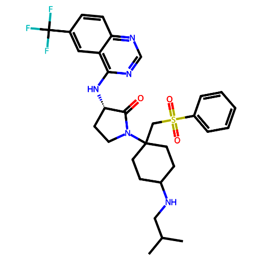 CC(C)CNC1CCC(CS(=O)(=O)c2ccccc2)(N2CC[C@H](Nc3ncnc4ccc(C(F)(F)F)cc34)C2=O)CC1